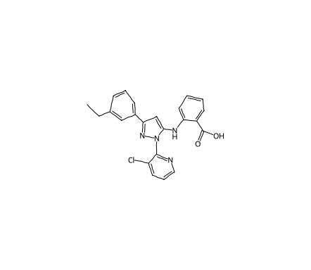 CCc1cccc(-c2cc(Nc3ccccc3C(=O)O)n(-c3ncccc3Cl)n2)c1